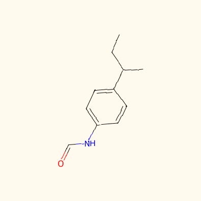 CCC(C)c1ccc(NC=O)cc1